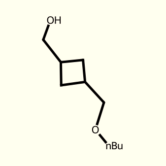 CCCCOCC1CC(CO)C1